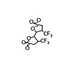 O=S1(=O)CC(C(F)(F)F)C(C2OS(=O)(=O)CC2C(F)(F)F)O1